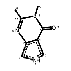 CB1C(=O)c2c[nH]cc2N=C1C